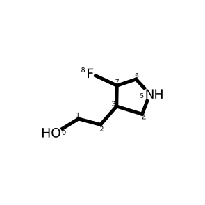 OCCC1CNCC1F